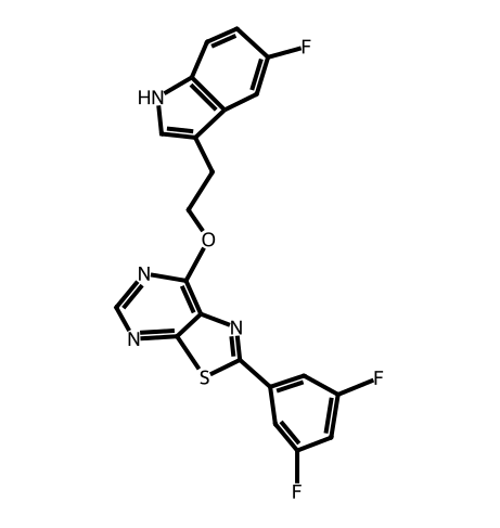 Fc1cc(F)cc(-c2nc3c(OCCc4c[nH]c5ccc(F)cc45)ncnc3s2)c1